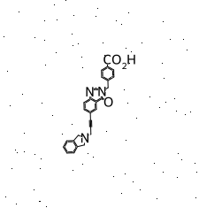 O=C(O)c1ccc(Cn2cnc3ccc(C#CCN4Cc5ccccc5C4)cc3c2=O)cc1